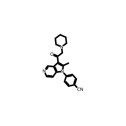 Cc1c(C(=O)CN2CCCCC2)c2cnccc2n1-c1ccc(C#N)cc1